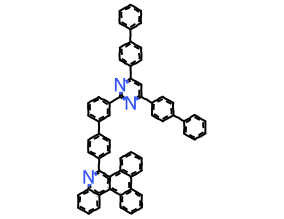 c1ccc(-c2ccc(-c3cc(-c4ccc(-c5ccccc5)cc4)nc(-c4cccc(-c5ccc(-c6nc7ccccc7c7c8ccccc8c8ccccc8c67)cc5)c4)n3)cc2)cc1